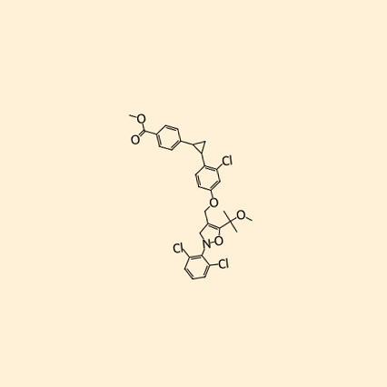 COC(=O)c1ccc(C2CC2c2ccc(OCC3=C(C(C)(C)OC)ON(c4c(Cl)cccc4Cl)C3)cc2Cl)cc1